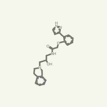 O=C(COc1ccccc1-c1cc[nH]n1)NCC(O)CN1CCc2ccccc2C1